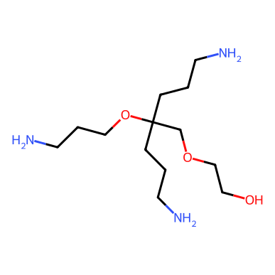 NCCCOC(CCCN)(CCCN)COCCO